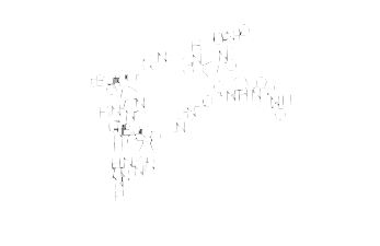 Cc1[nH]nc(Nc2ncnc3cc(OCCCN4CCN(CCOCC(=O)Nc5cccc6c5CN(C5CCC(=O)NC5=O)C6=O)CC4)c(S(=O)(=O)C(C)(C)C)cc23)c1C.Cc1[nH]nc(Nc2ncnc3cc(OCCN4CCN(CCCC(=O)Nc5cccc6c5CN(C5CCC(=O)NC5=O)C6=O)CC4)c(S(=O)(=O)C(C)(C)C)cc23)c1C